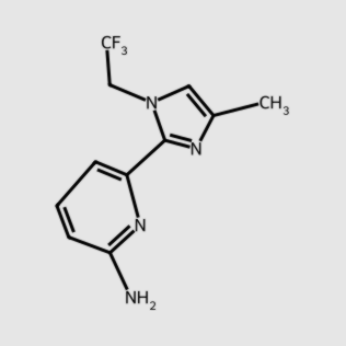 Cc1cn(CC(F)(F)F)c(-c2cccc(N)n2)n1